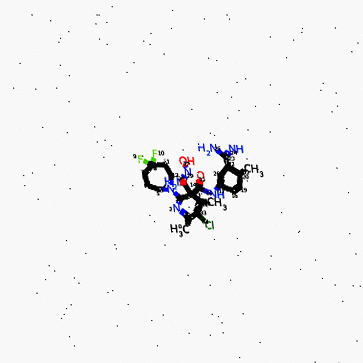 CC1=NC(N2CCCC(F)(F)CC2)C(C(=O)Nc2ccc(C)c(C(=N)N)c2)(C(N)=NO)C(C)=C1Cl